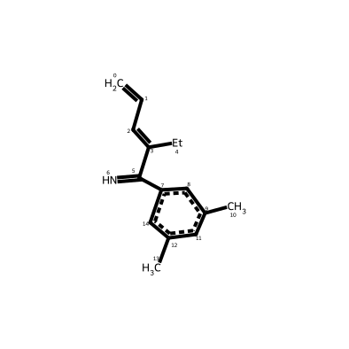 C=C/C=C(\CC)C(=N)c1cc(C)cc(C)c1